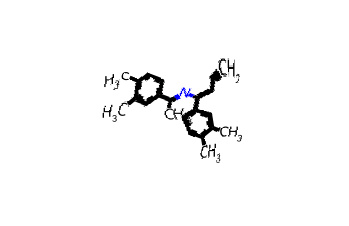 C=C/C=C(\N=C(/C)c1ccc(C)c(C)c1)c1ccc(C)c(C)c1